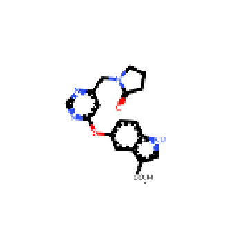 O=C(O)c1c[nH]c2ccc(Oc3cc(CN4CCCC4=O)ncn3)cc12